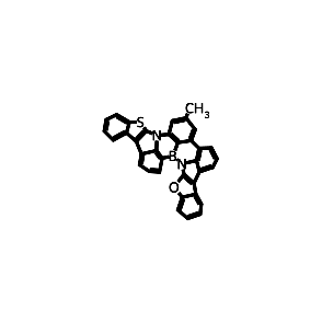 Cc1cc2c3c(c1)-n1c4sc5ccccc5c4c4cccc(c41)B3n1c3oc4ccccc4c3c3cccc-2c31